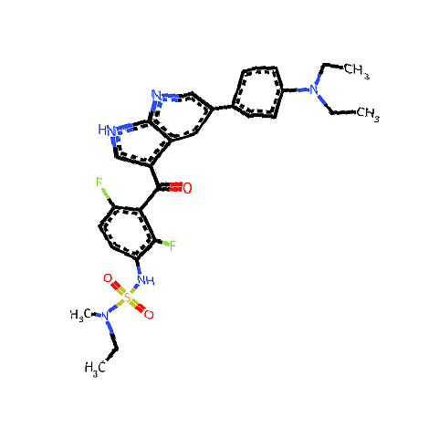 CCN(CC)c1ccc(-c2cnc3[nH]cc(C(=O)c4c(F)ccc(NS(=O)(=O)N(C)CC)c4F)c3c2)cc1